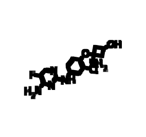 BC1(Oc2ccc(Nc3ncc(F)c(N)n3)cc2Cl)CC(O)C1